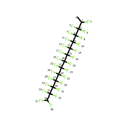 CC(F)C(F)(F)C(F)(F)C(F)(F)C(F)(F)C(F)(F)C(F)(F)C(F)(F)C(F)(F)C(F)(F)C(F)(F)C(F)(F)[C](F)F